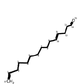 C=CCCCCCCCCC=CCCC=O